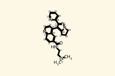 CN(C)CCNC(=O)c1ccc2nccc(-c3c(-c4ccccn4)nn4c3CCC4)c2c1